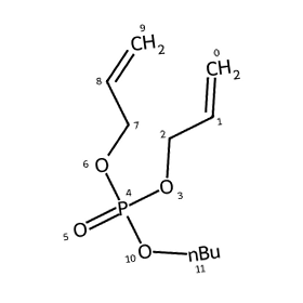 C=CCOP(=O)(OCC=C)OCCCC